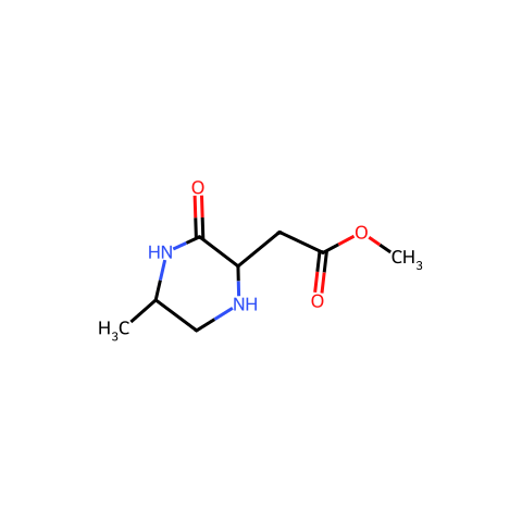 COC(=O)CC1NCC(C)NC1=O